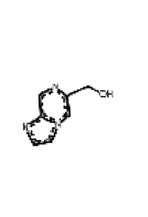 OCc1cn2[c]cnc2cn1